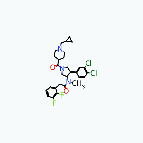 CN(C(=O)Cc1cccc(F)c1F)C1CN(C(=O)C2CCN(CC3CC3)CC2)CC1c1ccc(Cl)c(Cl)c1